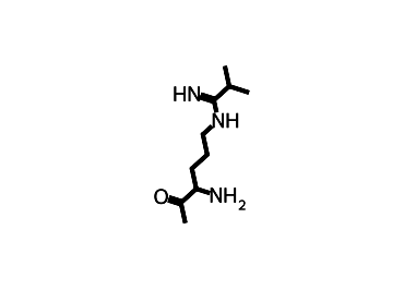 CC(=O)C(N)CCCNC(=N)C(C)C